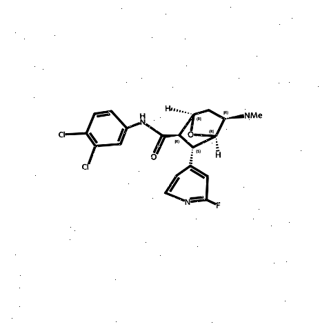 CN[C@@H]1C[C@H]2O[C@@H]1[C@H](c1ccnc(F)c1)[C@H]2C(=O)Nc1ccc(Cl)c(Cl)c1